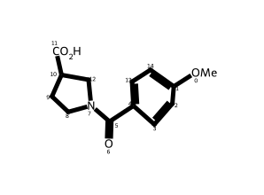 COc1ccc(C(=O)N2CCC(C(=O)O)C2)cc1